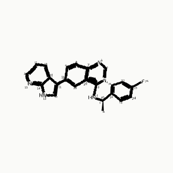 C[C@@H](Nc1ncnc2ccc(-c3c[nH]c4ncccc34)cc12)c1ccc(F)cc1